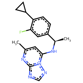 Cc1cc(N[C@H](C)c2ccc(C3CC3)c(F)c2)n2ncnc2n1